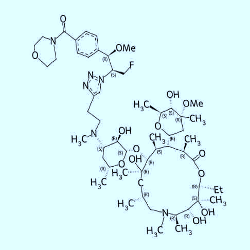 CC[C@H]1OC(=O)[C@H](C)C([C@H]2C[C@@](C)(OC)[C@@H](O)[C@H](C)O2)[C@H](C)[C@@H](O[C@@H]2O[C@H](C)C[C@H](N(C)CCc3cn([C@H](CF)[C@H](OC)c4ccc(C(=O)N5CCOCC5)cc4)nn3)[C@H]2O)[C@](C)(O)C[C@@H](C)CN(C)[C@H](C)[C@@H](O)[C@]1(C)O